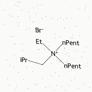 CCCCC[N+](CC)(CCCCC)CC(C)C.[Br-]